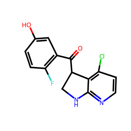 O=C(c1cc(O)ccc1F)C1CNc2nccc(Cl)c21